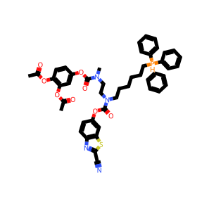 CC(=O)Oc1ccc(OC(=O)N(C)CCN(CCCCCC[PH](c2ccccc2)(c2ccccc2)c2ccccc2)C(=O)Oc2ccc3nc(C#N)sc3c2)cc1OC(C)=O